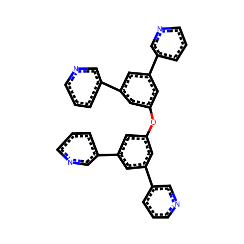 c1cncc(-c2cc(Oc3cc(-c4cccnc4)cc(-c4cccnc4)c3)cc(-c3cccnc3)c2)c1